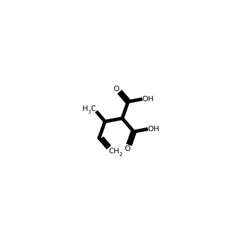 C=CC(C)C(C(=O)O)C(=O)O